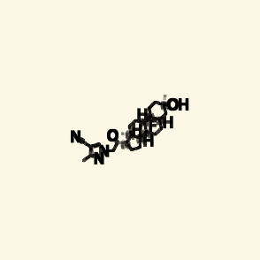 Cc1nn(CC(=O)[C@H]2CC[C@H]3[C@@H]4CC[C@@H]5C[C@](C)(O)CC[C@]5(F)[C@H]4CC[C@]23C)cc1C#N